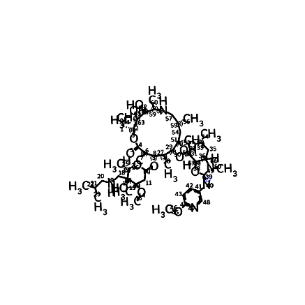 CC[C@H]1OC(=O)[C@H](C)[C@@H](O[C@H]2C[C@@](C)(OC)[C@](O)(CNCC(C)C)[C@H](C)O2)[C@H](C)[C@@H](O[C@@H]2O[C@H](C)C[C@H]3[C@H]2O/C(=N\c2ccc(OC)nc2)N3C)[C@](C)(O)C[C@@H](C)CN[C@H](C)[C@@H](O)[C@]1(C)O